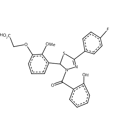 COc1c(OCC(=O)O)cccc1C1SC(c2ccc(F)cc2)=NN1C(=O)c1ccccc1O